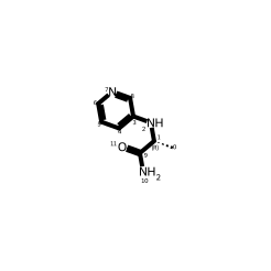 C[C@@H](Nc1cccnc1)C(N)=O